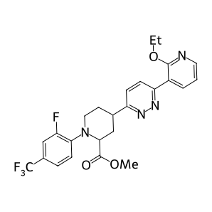 CCOc1ncccc1-c1ccc(C2CCN(c3ccc(C(F)(F)F)cc3F)C(C(=O)OC)C2)nn1